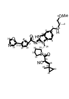 COC[C@H](C)NCc1ccc2c(c1)[nH]/c(=N\C(=O)c1ccc(-c3cnco3)s1)n2C[C@H]1CCCN1C(=O)/C(C#N)=C/C1(C)CC1